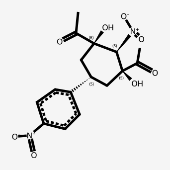 CC(=O)[C@]1(O)C[C@H](c2ccc([N+](=O)[O-])cc2)C[C@](O)(C(C)=O)[C@H]1[N+](=O)[O-]